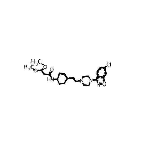 COC(CC(=O)NC1CCC(CCN2CCN(c3noc4cc(Cl)ccc34)CC2)CC1)OC